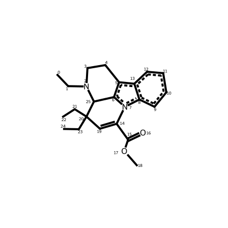 CCN1CCc2c3n(c4ccccc24)C(C(=O)OC)=CC(CC)(CC)C31